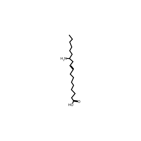 CCCCCCC(N)CC=CCCCCCCCC(=O)O